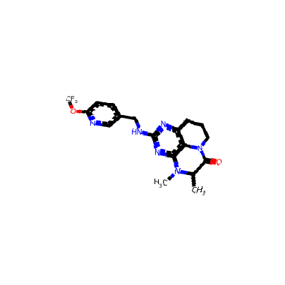 CC1C(=O)N2CCCc3nc(NCc4ccc(OC(F)(F)F)nc4)nc(c32)N1C